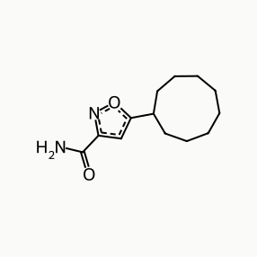 NC(=O)c1cc(C2CCCCCCCC2)on1